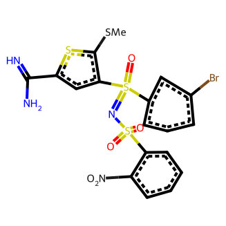 CSc1sc(C(=N)N)cc1S(=O)(=NS(=O)(=O)c1ccccc1[N+](=O)[O-])c1cccc(Br)c1